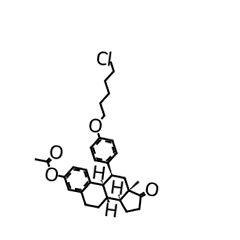 CC(=O)Oc1ccc2c(c1)CC[C@@H]1[C@@H]2[C@@H](c2ccc(OCCCCCCl)cc2)C[C@]2(C)C(=O)CC[C@@H]12